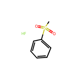 CS(=O)(=O)c1ccccc1.F